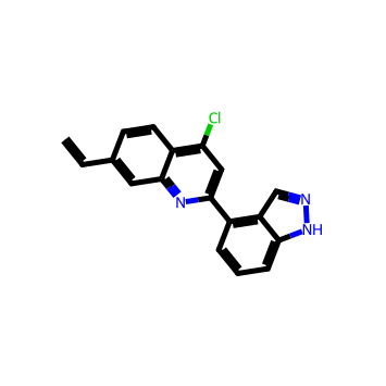 C=Cc1ccc2c(Cl)cc(-c3cccc4[nH]ncc34)nc2c1